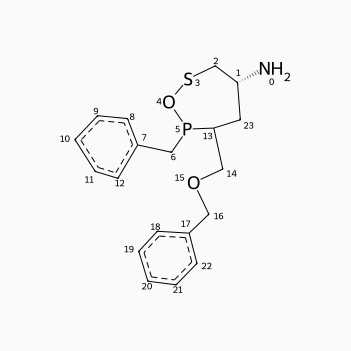 N[C@H]1CSOP(Cc2ccccc2)C(COCc2ccccc2)C1